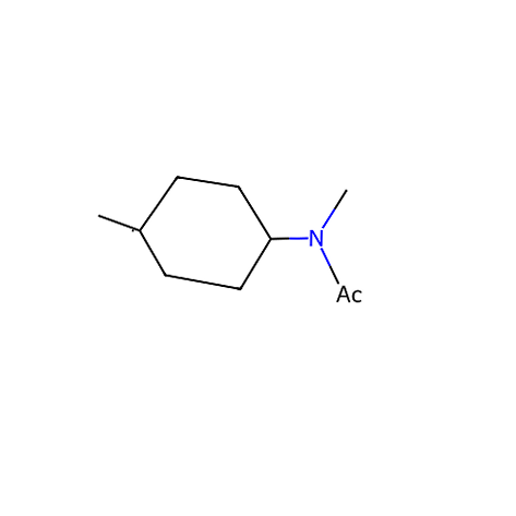 C[C]1CCC(N(C)C(C)=O)CC1